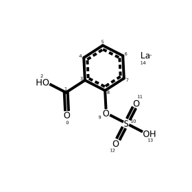 O=C(O)c1ccccc1OS(=O)(=O)O.[La]